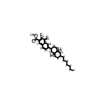 CCCCCCCC1CC[C@@H]2CC(c3ccc4cc(C(=O)OC)c(F)c(F)c4c3)CC[C@H]2C1